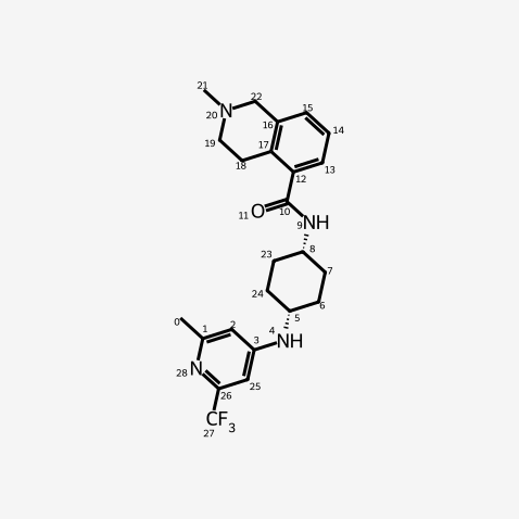 Cc1cc(N[C@H]2CC[C@@H](NC(=O)c3cccc4c3CCN(C)C4)CC2)cc(C(F)(F)F)n1